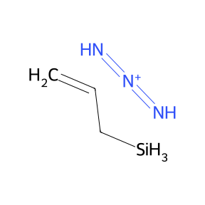 C=CC[SiH3].N=[N+]=N